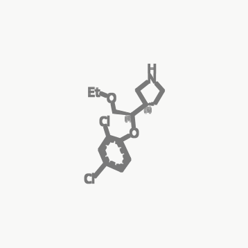 CCOC[C@H](Oc1ccc(Cl)cc1Cl)[C@H]1CCNC1